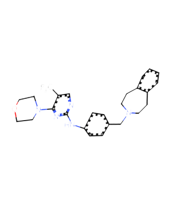 FC(F)(F)c1cnc(Nc2ccc(CN3CCc4ccccc4CC3)cc2)nc1N1CCOCC1